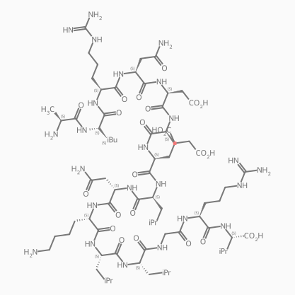 CC[C@H](C)[C@H](NC(=O)[C@H](C)N)C(=O)N[C@@H](CCCNC(=N)N)C(=O)N[C@@H](CC(N)=O)C(=O)N[C@@H](CC(=O)O)C(=O)N[C@@H](CCC(=O)O)C(=O)N[C@@H](CCC(=O)O)C(=O)N[C@@H](CC(C)C)C(=O)N[C@@H](CC(N)=O)C(=O)N[C@@H](CCCCN)C(=O)N[C@@H](CC(C)C)C(=O)N[C@@H](CC(C)C)C(=O)NCC(=O)N[C@@H](CCCNC(=N)N)C(=O)N[C@H](C(=O)O)C(C)C